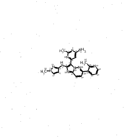 Cc1nc(N)cc(-c2c(Nc3ccn(C)n3)nc3ccc(-c4cccnc4C)nn23)n1